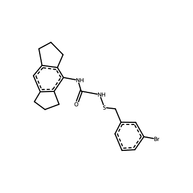 O=C(NSCc1cccc(Br)c1)Nc1c2c(cc3c1CCC3)CCC2